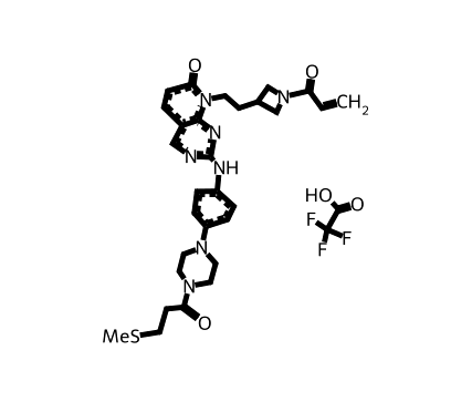 C=CC(=O)N1CC(CCn2c(=O)ccc3cnc(Nc4ccc(N5CCN(C(=O)CCSC)CC5)cc4)nc32)C1.O=C(O)C(F)(F)F